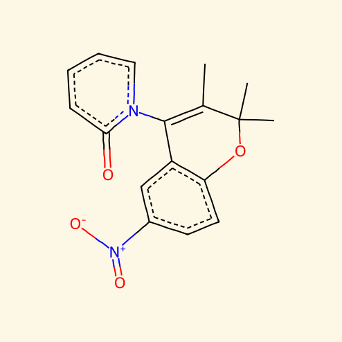 CC1=C(n2ccccc2=O)c2cc([N+](=O)[O-])ccc2OC1(C)C